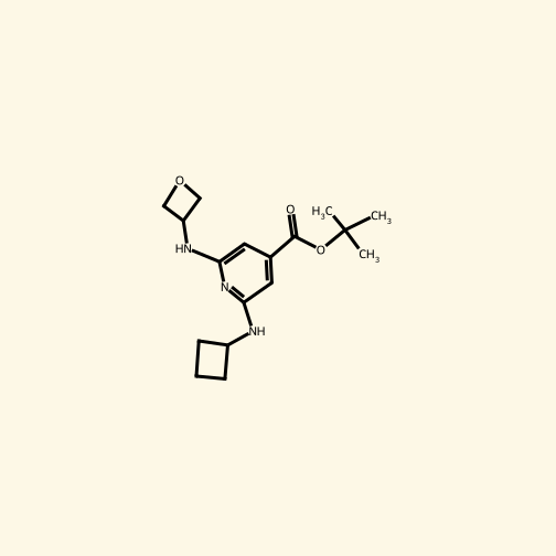 CC(C)(C)OC(=O)c1cc(NC2CCC2)nc(NC2COC2)c1